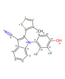 Cc1ccsc1-c1c(C#N)c2ccccc2n1-c1ccc(O)c(F)c1F